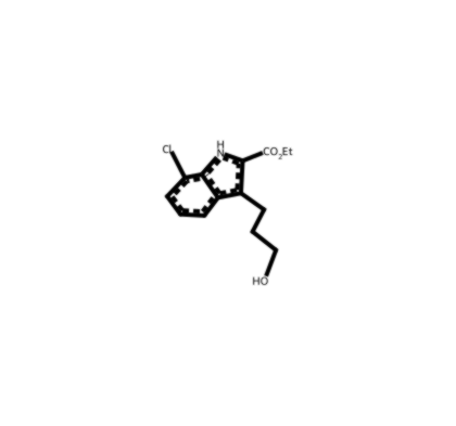 CCOC(=O)c1[nH]c2c(Cl)cccc2c1CCCO